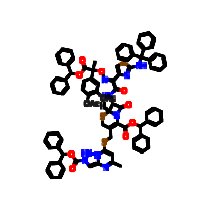 CC(=O)Oc1ccc(C(C)(ON=C(C(=O)N[C@@H]2C(=O)N3C(C(=O)OC(c4ccccc4)c4ccccc4)=C(CSC4=CC(C)=NC5=CN(C(=O)OC(c6ccccc6)c6ccccc6)NN54)CS[C@H]23)c2csc(NC(c3ccccc3)(c3ccccc3)c3ccccc3)n2)C(=O)OC(c2ccccc2)c2ccccc2)cc1OC(C)=O